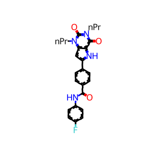 CCCn1c(=O)c2[nH]c(-c3ccc(C(=O)Nc4ccc(F)cc4)cc3)cc2n(CCC)c1=O